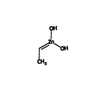 C[CH]=[Zn]([OH])[OH]